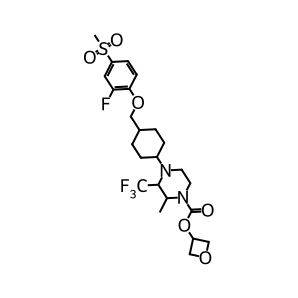 CC1C(C(F)(F)F)N(C2CCC(COc3ccc(S(C)(=O)=O)cc3F)CC2)CCN1C(=O)OC1COC1